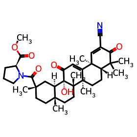 COC(=O)[C@@H]1CCCN1C(=O)[C@@]1(C)CC[C@@]2(C)CC[C@@]3(C)[C@]4(C)CC[C@H]5C(C)(C)C(=O)C(C#N)=C[C@]5(C)C4=CC(=O)[C@]3(O)[C@@H]2C1